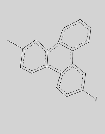 Cc1ccc2c3ccc(I)cc3c3ccccc3c2c1